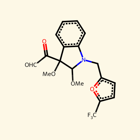 COC1N(Cc2ccc(C(F)(F)F)o2)c2ccccc2C1(OC)C(=O)C=O